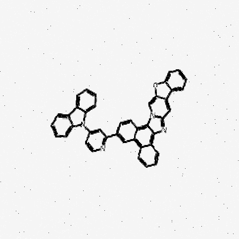 c1ccc2c(c1)oc1cn3c(cc12)nc1c2ccccc2c2cc(-c4cc(-n5c6ccccc6c6ccccc65)ccn4)ccc2c13